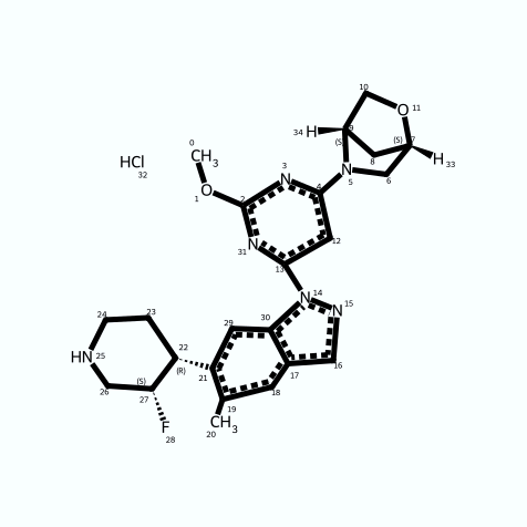 COc1nc(N2C[C@@H]3C[C@H]2CO3)cc(-n2ncc3cc(C)c([C@H]4CCNC[C@H]4F)cc32)n1.Cl